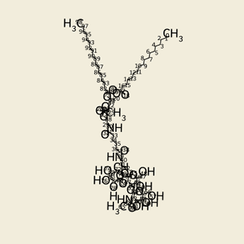 CCCCCCCCCCCCCCCCCC(=O)OC[C@H](COP(C)(=O)OCCNC(=O)CCCCC(=O)NCCCO[C@@H]1OC(CO)[C@H](O)[C@H](O[C@@H]2OC(CO)[C@H](O)[C@H](O)C2NC(C)=O)C1O[C@@H]1OC(C)[C@@H](O)[C@H](O)C1O)OC(=O)CCCCCCCCCCCCCCCCC